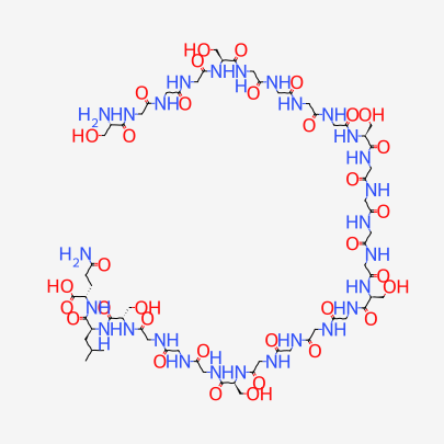 CC(C)C[C@H](NC(=O)[C@H](CO)NC(=O)CNC(=O)CNC(=O)CNC(=O)[C@H](CO)NC(=O)CNC(=O)CNC(=O)CNC(=O)CNC(=O)[C@H](CO)NC(=O)CNC(=O)CNC(=O)CNC(=O)CNC(=O)[C@H](CO)NC(=O)CNC(=O)CNC(=O)CNC(=O)CNC(=O)[C@H](CO)NC(=O)CNC(=O)CNC(=O)CNC(=O)[C@@H](N)CO)C(=O)N[C@@H](CCC(N)=O)C(=O)O